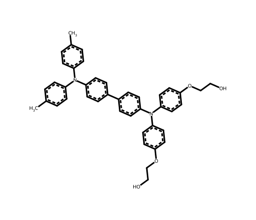 Cc1ccc(N(c2ccc(C)cc2)c2ccc(-c3ccc(N(c4ccc(OCCO)cc4)c4ccc(OCCO)cc4)cc3)cc2)cc1